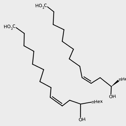 CCCCCCC(O)C/C=C\CCCCCCCC(=O)O.CCCCCC[C@@H](O)C/C=C\CCCCCCCC(=O)O